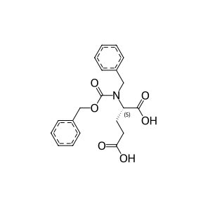 O=C(O)CC[C@@H](C(=O)O)N(Cc1ccccc1)C(=O)OCc1ccccc1